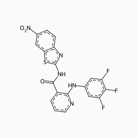 O=C(Nc1nc2ccc([N+](=O)[O-])cc2s1)c1cccnc1Nc1cc(F)c(F)c(F)c1